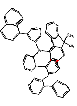 CC1(C)c2ccccc2-c2c(N(c3cccc(-c4cccc5ccccc45)c3)C3C=CC=CC3c3ccccc3-c3ccccc3-c3ccccc3)cccc21